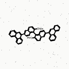 COc1ccc2cc(-c3cc4ccccc4c4ccccc34)ccc2c1-c1c(OC)ccc2cc(-c3cc4ccccc4c4ccccc34)ccc12